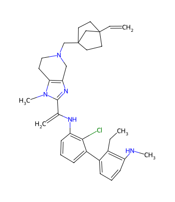 C=CC12CCC(CN3CCc4c(nc(C(=C)Nc5cccc(-c6cccc(NC)c6CC)c5Cl)n4C)C3)(CC1)C2